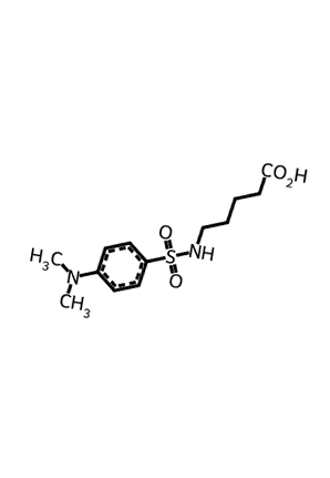 CN(C)c1ccc(S(=O)(=O)NCCCCC(=O)O)cc1